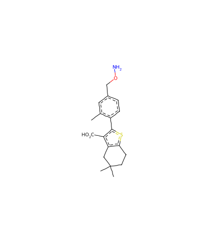 Cc1cc(CON)ccc1-c1sc2c(c1C(=O)O)CC(C)(C)CC2